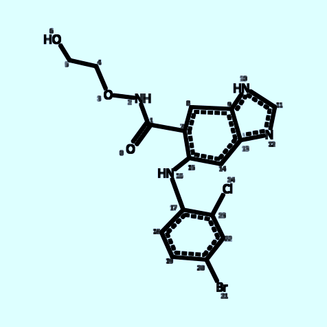 O=C(NOCCO)c1cc2[nH]cnc2cc1Nc1ccc(Br)cc1Cl